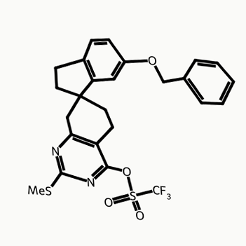 CSc1nc2c(c(OS(=O)(=O)C(F)(F)F)n1)CCC1(CCc3ccc(OCc4ccccc4)cc31)C2